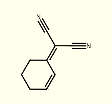 N#CC(C#N)=C1C=[C]CCC1